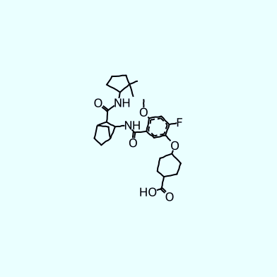 COc1cc(F)c(OC2CCC(C(=O)O)CC2)cc1C(=O)NC1C2CCC(C2)C1C(=O)NC1CCCC1(C)C